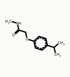 CNC(=O)COc1ccc(C(C)C)cc1